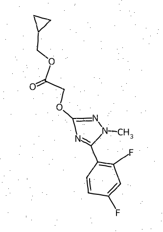 Cn1nc(OCC(=O)OCC2CC2)nc1-c1ccc(F)cc1F